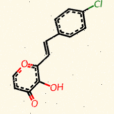 O=c1ccoc(C=Cc2ccc(Cl)cc2)c1O